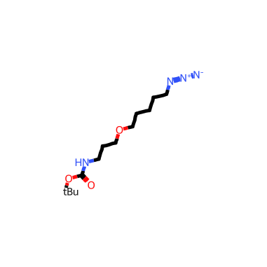 CC(C)(C)OC(=O)NCCCOCCCCCN=[N+]=[N-]